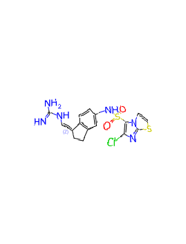 N=C(N)N/C=C1/CCc2cc(NS(=O)(=O)c3c(Cl)nc4sccn34)ccc21